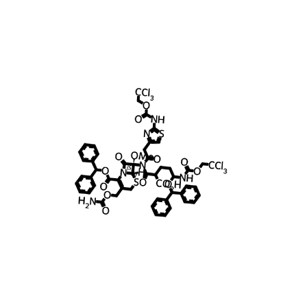 CO[C@@]1(N(C(=O)Cc2csc(NC(=O)OCC(Cl)(Cl)Cl)n2)C(=O)C(CCC(NC(=O)OCC(Cl)(Cl)Cl)OC(c2ccccc2)c2ccccc2)C(=O)O)C(=O)N2C(C(=O)OC(c3ccccc3)c3ccccc3)=C(COC(N)=O)CS[C@H]21